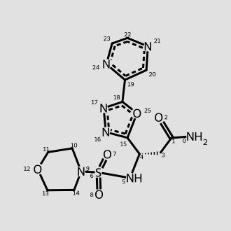 NC(=O)C[C@H](NS(=O)(=O)N1CCOCC1)c1nnc(-c2cnccn2)o1